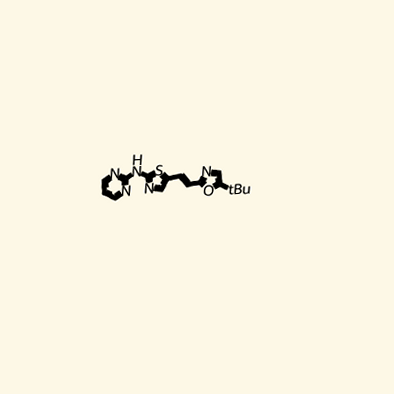 CC(C)(C)c1cnc(C=Cc2cnc(Nc3ncccn3)s2)o1